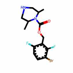 CC1CNCC(C)N1C(=O)OCc1c(F)ccc(Br)c1F